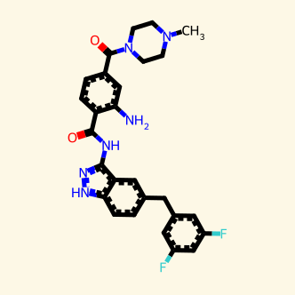 CN1CCN(C(=O)c2ccc(C(=O)Nc3n[nH]c4ccc(Cc5cc(F)cc(F)c5)cc34)c(N)c2)CC1